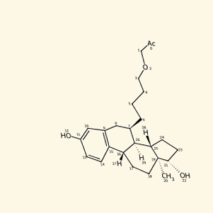 CC(=O)COCCCC[C@@H]1Cc2cc(O)ccc2[C@H]2CC[C@]3(C)[C@@H](O)CC[C@H]3[C@H]12